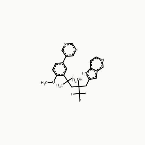 COc1ccc(-c2cncnc2)cc1C(C)(C)CC(O)(Cc1cc2cnccc2[nH]1)C(F)(F)F